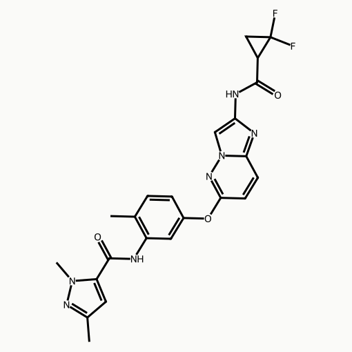 Cc1cc(C(=O)Nc2cc(Oc3ccc4nc(NC(=O)C5CC5(F)F)cn4n3)ccc2C)n(C)n1